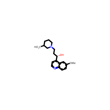 COc1ccc2nccc([C@@H](O)CCN3CCCC(C(=O)O)C3)c2c1